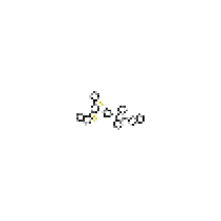 c1ccc2cc(-c3c4ccccc4c(-c4ccc(-c5c6sc7ccccc7c6cc6c5sc5ccc7ccccc7c56)cc4)c4ccccc34)ccc2c1